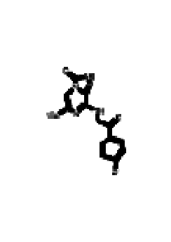 CC(C)(C)c1cn2c(=O)[nH]nc2c(NCC(=O)c2ccc(Br)cc2)n1